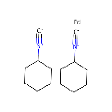 [C-]#[N+]C1CCCCC1.[C-]#[N+]C1CCCCC1.[Pd]